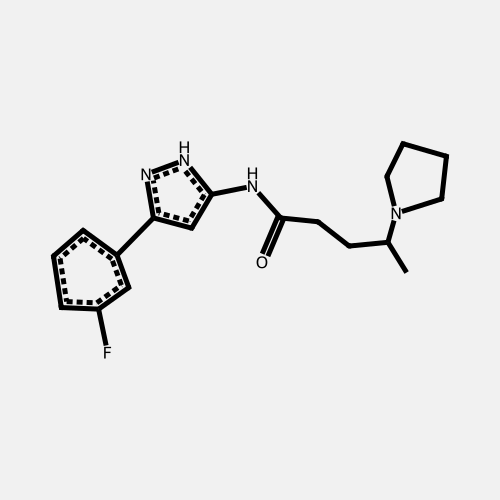 CC(CCC(=O)Nc1cc(-c2cccc(F)c2)n[nH]1)N1CCCC1